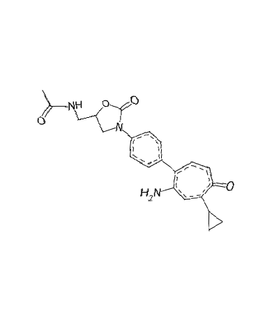 CC(=O)NCC1CN(c2ccc(-c3ccc(=O)c(C4CC4)cc3N)cc2)C(=O)O1